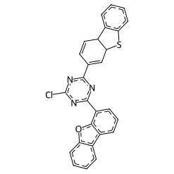 Clc1nc(C2=CC3Sc4ccccc4C3C=C2)nc(-c2cccc3c2oc2ccccc23)n1